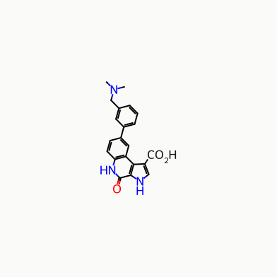 CN(C)Cc1cccc(-c2ccc3[nH]c(=O)c4[nH]cc(C(=O)O)c4c3c2)c1